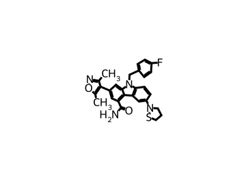 Cc1noc(C)c1-c1cc(C(N)=O)c2c3cc(N4CCCS4)ccc3n(Cc3ccc(F)cc3)c2c1